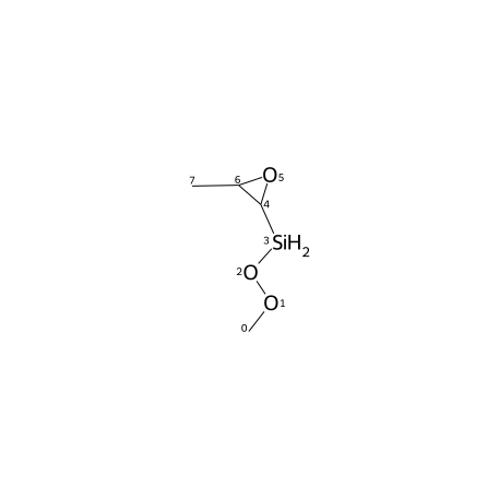 COO[SiH2]C1OC1C